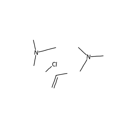 C=CC.CCl.CN(C)C.CN(C)C